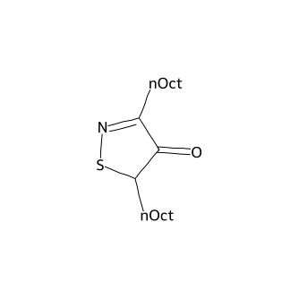 CCCCCCCCC1=NSC(CCCCCCCC)C1=O